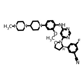 COc1cc(N2CCC(N3CCN(C)CC3)CC2)ccc1Nc1cc(N2OCC[C@@H]2c2cc(F)cc(C#N)c2)ncn1